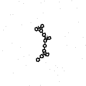 c1ccc(-c2ccc(-n3c4ccccc4c4cc(-c5ccc(-c6ccc7c(c6)c6ccccc6n7-c6ccc(-c7cc8c9ccccc9n9c%10ccccc%10c(c7)c89)cc6)cc5)ccc43)cc2)cc1